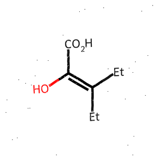 CCC(CC)=C(O)C(=O)O